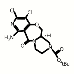 CC(C)(C)OC(=O)N1CCN2C(=O)c3c(N)nc(Cl)c(Cl)c3OC[C@H]2C1